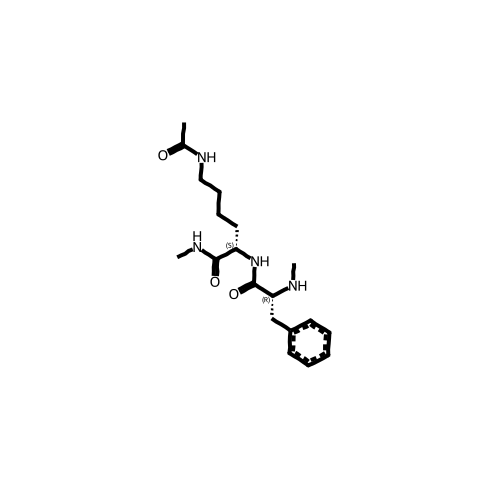 CNC(=O)[C@H](CCCCNC(C)=O)NC(=O)[C@@H](Cc1ccccc1)NC